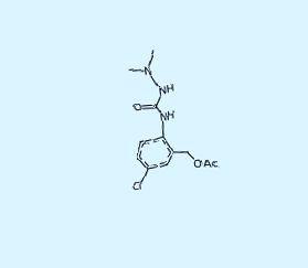 CC(=O)OCc1cc(Cl)ccc1NC(=O)NN(C)C